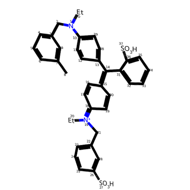 CCN(Cc1cccc(C)c1)c1ccc(C(=C2C=CC(=[N+](CC)Cc3cccc(S(=O)(=O)O)c3)C=C2)c2ccccc2S(=O)(=O)O)cc1